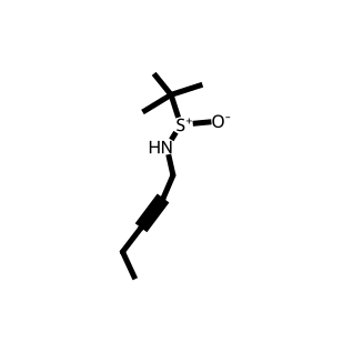 CCC#CCN[S+]([O-])C(C)(C)C